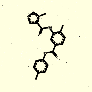 Cc1ccc(NC(=O)c2ccc(C)c(NC(=O)c3cncn3C)c2)cc1